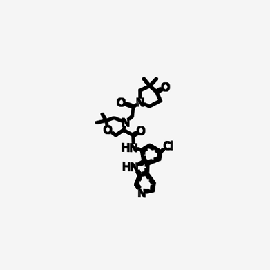 CC1(C)CN(CC(=O)N2CCC(=O)C(C)(C)C2)C(C(=O)Nc2cc(Cl)cc3c2[nH]c2cnccc23)CO1